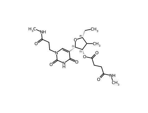 CC[C@H]1O[C@@H](c2cn(CCC(=O)NC)c(=O)[nH]c2=O)[C@@H](OC(=O)CCC(=O)NC)C1C